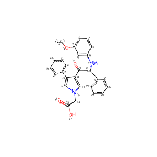 COc1cccc(NC(C(=O)c2cn(CC(=O)O)cc2-c2ccccc2)c2ccccc2)c1